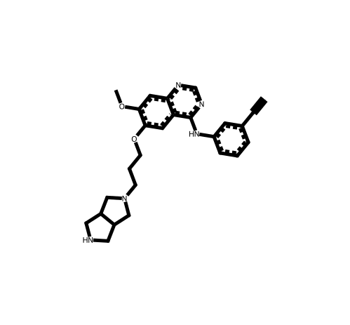 C#Cc1cccc(Nc2ncnc3cc(OC)c(OCCCN4CC5CNCC5C4)cc23)c1